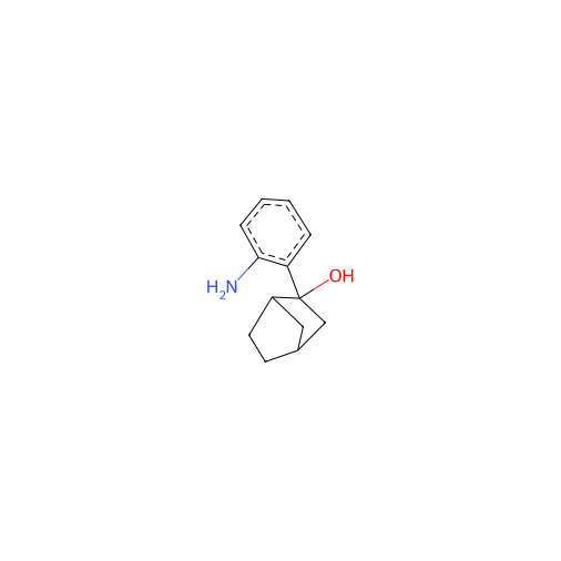 Nc1ccccc1C1(O)CC2CCC1C2